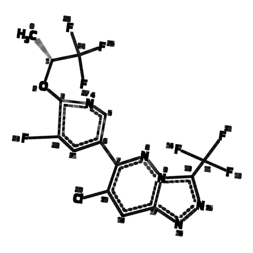 C[C@@H](Oc1ncc(-c2nn3c(C(F)(F)F)nnc3cc2Cl)cc1F)C(F)(F)F